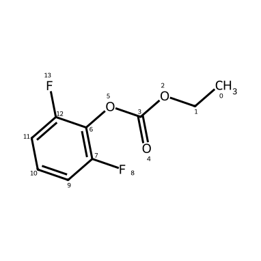 CCOC(=O)Oc1c(F)cccc1F